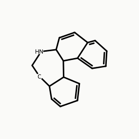 C1=CC2CCNC3C=Cc4ccccc4C3C2C=C1